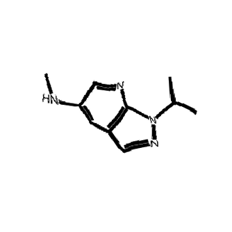 CNc1cnc2c(cnn2C(C)C)c1